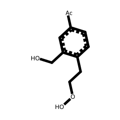 CC(=O)c1ccc(CCOO)c(CO)c1